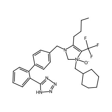 CCCCC1=C(C(F)(F)F)[N+]([O-])(CC2CCCCC2)CN1Cc1ccc(-c2ccccc2-c2nnn[nH]2)cc1